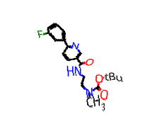 CN(CCNC(=O)c1ccc(-c2cccc(F)c2)nc1)C(=O)OC(C)(C)C